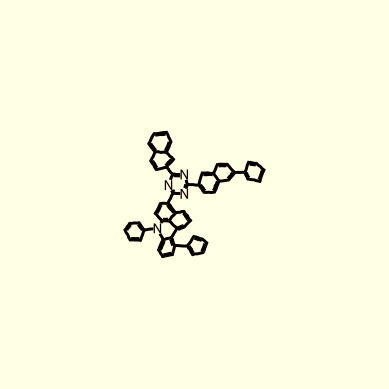 c1ccc(-c2ccc3cc(-c4nc(-c5ccc6ccccc6c5)nc(-c5ccc6c7c(cccc57)-c5c(-c7ccccc7)cccc5N6c5ccccc5)n4)ccc3c2)cc1